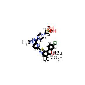 Cc1cc2nc(-c3ccc4c(n3)c(N3CCN(C5CS(O)(O)C5)CC3)nn4C)sc2c(-c2ccc(Cl)cc2)c1[C@H](OC(C)(C)C)C(=O)O